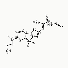 CS/C(=C\c1cc2c(s1)-c1ccc(N(C)CCO)cc1C2(C)C)C(=S)NC=S